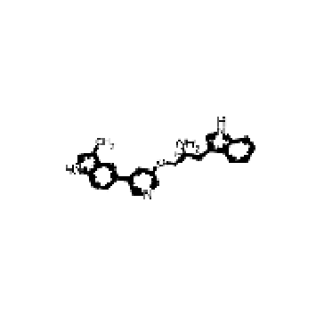 Cc1c[nH]c2ccc(-c3cncc(OC[C@@H](N)Cc4c[nH]c5ccccc45)c3)cc12